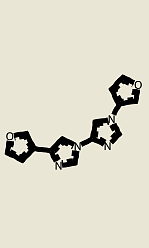 c1cc(-c2cn(-c3cn(-c4ccoc4)cn3)cn2)co1